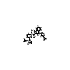 O=C(Nc1cccc(-c2nncn2C2CC2)n1)c1cc(-n2cnc(C3CC3)c2)c2ccccc2n1